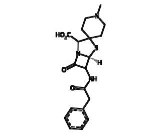 CN1CCC2(CC1)S[C@H]1C(NC(=O)Cc3ccccc3)C(=O)N1C2C(=O)O